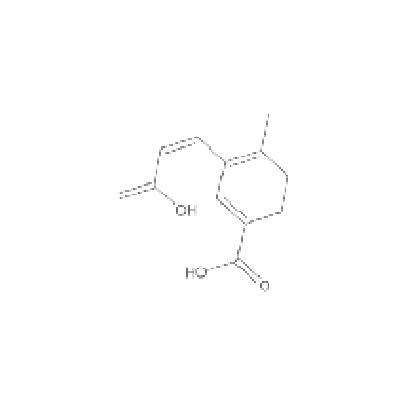 C=C(O)/C=C\C1=C(C)CCC(C(=O)O)=C1